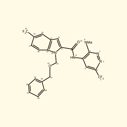 CNc1nnc(C(F)(F)F)cc1NC(=O)c1cc2cc(C(F)(F)F)ccc2n1COCc1ccccc1